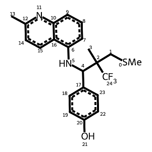 CSCC(C)(C(Nc1cccc2nc(C)ccc12)c1ccc(O)cc1)C(F)(F)F